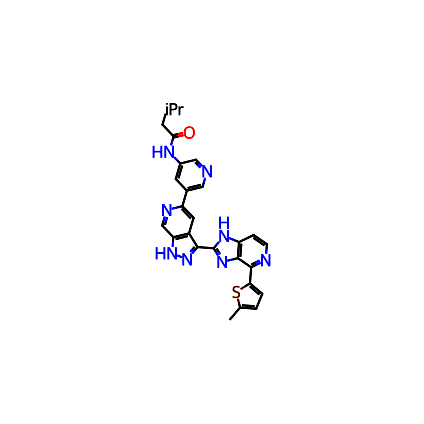 Cc1ccc(-c2nccc3[nH]c(-c4n[nH]c5cnc(-c6cncc(NC(=O)CC(C)C)c6)cc45)nc23)s1